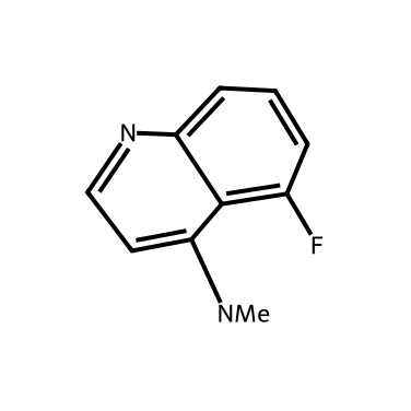 CNc1ccnc2cccc(F)c12